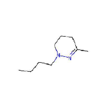 CCCCN1CCCC(C)=N1